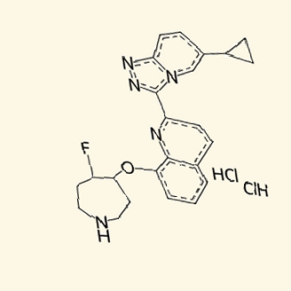 Cl.Cl.FC1CCNCCC1Oc1cccc2ccc(-c3nnc4ccc(C5CC5)cn34)nc12